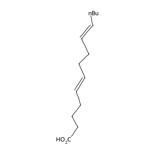 CCCCC=CCCC=CCCCC(=O)O